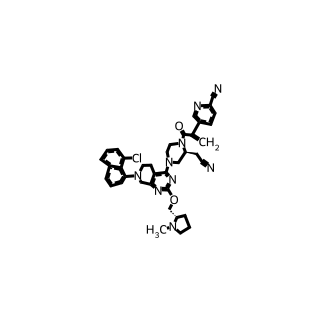 C=C(C(=O)N1CCN(c2nc(OC[C@@H]3CCCN3C)nc3c2CCN(c2cccc4cccc(Cl)c24)C3)C[C@@H]1CC#N)c1ccc(C#N)nc1